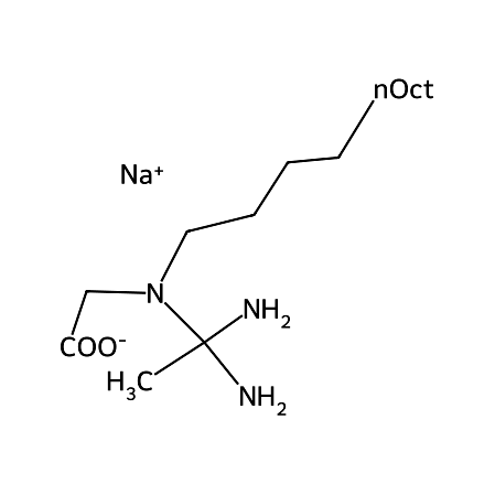 CCCCCCCCCCCCN(CC(=O)[O-])C(C)(N)N.[Na+]